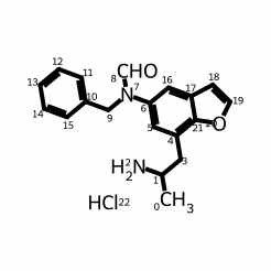 CC(N)Cc1cc(N(C=O)Cc2ccccc2)cc2ccoc12.Cl